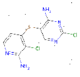 Nc1nc(Cl)ncc1Sc1ccnc(N)c1Cl